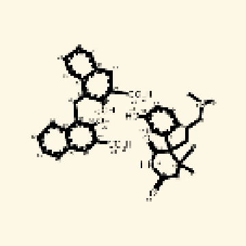 CN(C)CCCC1(c2cccc(O)c2)C(=O)NC(=O)CC1(C)C.O=C(O)c1cc2ccccc2c(Cc2c(O)c(C(=O)O)cc3ccccc23)c1O